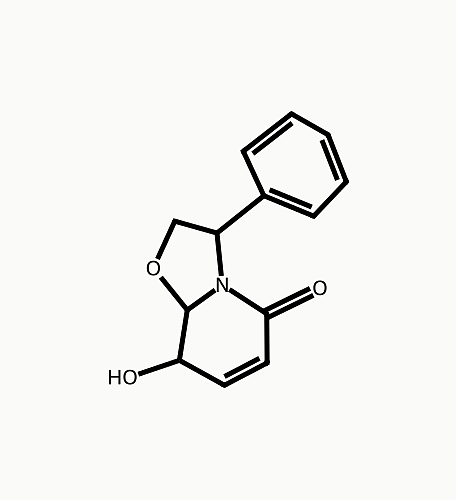 O=C1C=CC(O)C2OCC(c3ccccc3)N12